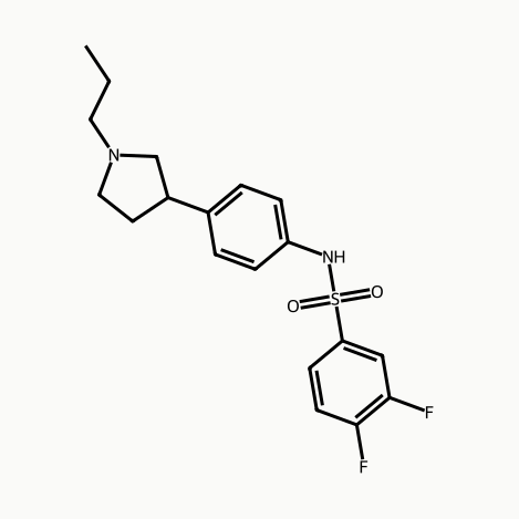 CCCN1CCC(c2ccc(NS(=O)(=O)c3ccc(F)c(F)c3)cc2)C1